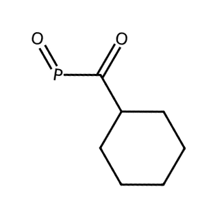 O=PC(=O)C1CCCCC1